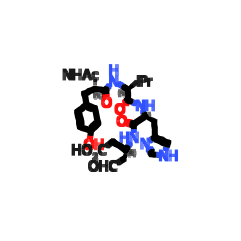 CC(=O)N[C@@H](Cc1ccc(O)cc1)C(=O)N[C@H](C(=O)N[C@@H](Cc1c[nH]cn1)C(=O)N[C@H](CC=O)CC(=O)O)C(C)C